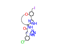 O=C(/C=C/c1cc(Cl)ccc1-n1cnnn1)N[C@H]1CCCCCCOc2cc(CI)ccc2-c2c[nH]c1n2